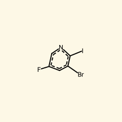 Fc1cnc(I)c(Br)c1